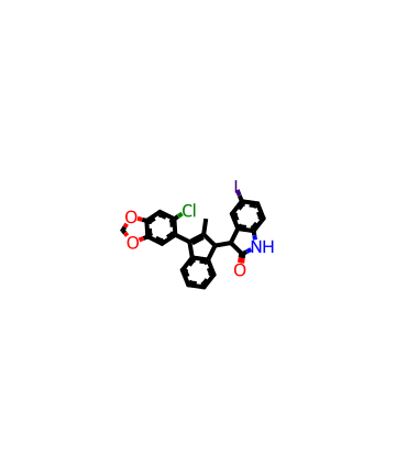 CC1=C(c2cc3c(cc2Cl)OCO3)c2ccccc2C1C1C(=O)Nc2ccc(I)cc21